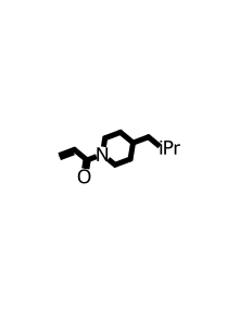 C=CC(=O)N1CCC(CC(C)C)CC1